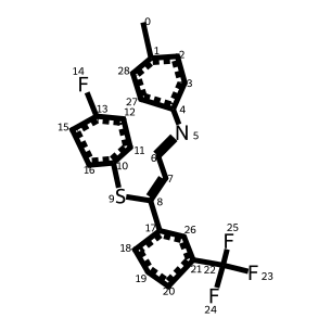 Cc1ccc(N=CC=C(Sc2ccc(F)cc2)c2cccc(C(F)(F)F)c2)cc1